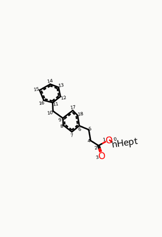 CCCCCCCOC(=O)CCc1ccc(Cc2ccccc2)cc1